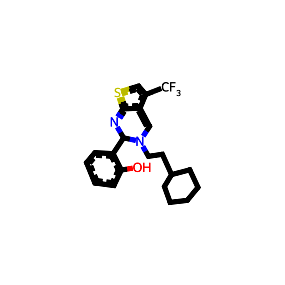 Oc1ccccc1C1N=c2scc(C(F)(F)F)c2=CN1CCC1CCCCC1